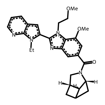 CCn1c(-c2nc3cc(C(=O)N4C[C@H]5CC6C[C@@H]4[C@H]65)cc(OC)c3n2CCOC)cc2cccnc21